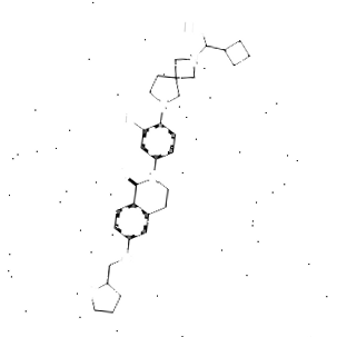 O=C1c2ccc(OCC3CCCO3)cc2CCN1c1ccc(N2CCC3(C2)CN(C(O)C2CCC2)C3)c(F)c1